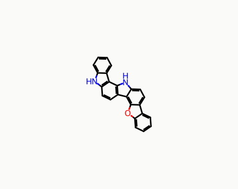 c1ccc2c(c1)[nH]c1ccc3c([nH]c4ccc5c6ccccc6oc5c43)c12